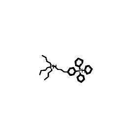 CCCC[PH](CCCC)(CCCC)CCCCc1ccc([PH](c2ccccc2)(c2ccccc2)c2ccccc2)cc1